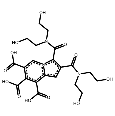 O=C(O)c1cn2c(C(=O)N(CCO)CCO)c(C(=O)N(CCO)CCO)[c]c2c(C(=O)O)c1C(=O)O